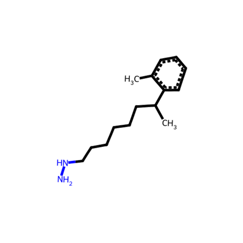 Cc1ccccc1C(C)CCCCCCNN